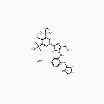 CCc1oc(-c2cc(C(C)(C)C)c(O)c(C(C)(C)C)c2)nc1Oc1ccccc1CC1=NCCN1.Cl